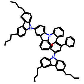 CCCCc1ccc2c(c1)c1cc(CCCC)ccc1n2-c1ccc(-c2ccccc2-n2c3ccccc3c3cc(-n4c5ccc(CCCC)cc5c5cc(CCCC)ccc54)ccc32)c(-c2ccccc2)c1